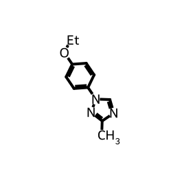 CCOc1ccc(-n2cnc(C)n2)cc1